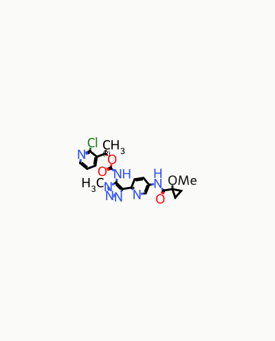 COC1(C(=O)Nc2ccc(-c3nnn(C)c3NC(=O)O[C@H](C)c3cccnc3Cl)nc2)CC1